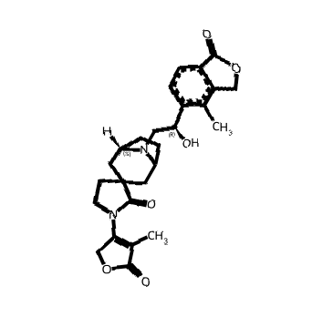 CC1=C(N2CCC3(CC4CC[C@@H](C3)N4C[C@H](O)c3ccc4c(c3C)COC4=O)C2=O)COC1=O